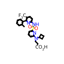 Cc1ccccc1-c1nc(NS(=O)(=O)c2cccc(N(CCC(=O)O)C3CCC3)n2)ccc1C(F)(F)F